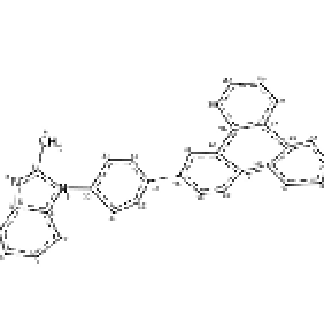 Cc1nc2ccccc2n1-c1ccc(-c2ccc3c4ccccc4c4ccccc4c3c2)cc1